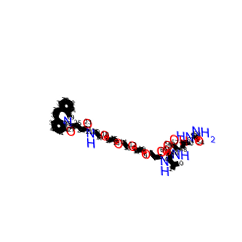 CC(C)[C@H](NC(=O)CCOCCOCCOCCOCCNC(=O)CCC(=O)N1Cc2ccccc2C#Cc2ccccc21)C(=O)N[C@@H](CCCNC(N)=O)C(=O)O